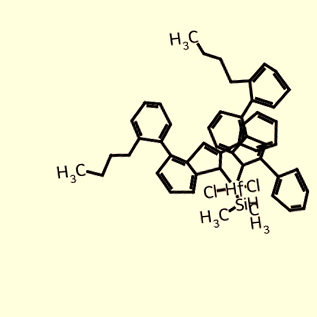 CCCCc1ccccc1-c1cccc2c1C=C(c1ccccc1)[CH]2[Hf]([Cl])([Cl])([CH]1C(c2ccccc2)=Cc2c(-c3ccccc3CCCC)cccc21)[SiH](C)C